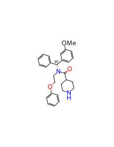 COc1cccc([C@@H](c2ccccc2)N(CCOc2ccccc2)C(=O)C2CCNCC2)c1